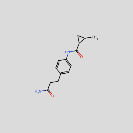 CC1CC1C(=O)Nc1ccc(CCC(N)=O)cc1